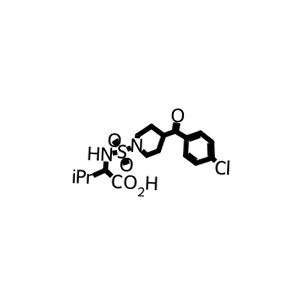 CC(C)C(NS(=O)(=O)N1CCC(C(=O)c2ccc(Cl)cc2)CC1)C(=O)O